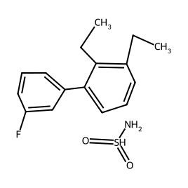 CCc1cccc(-c2cccc(F)c2)c1CC.N[SH](=O)=O